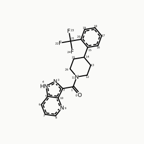 O=C(c1n[nH]c2cccnc12)N1CCC(c2ccccc2C(F)(F)F)CC1